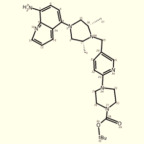 C[C@@H]1CN(c2ccc(N)c3ncccc23)C[C@H](C)N1Cc1ccc(N2CCN(C(=O)OC(C)(C)C)CC2)nc1